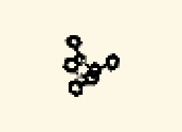 c1ccc(-c2cccc(-n3cc(-c4ccccc4)c4cccc(-n5c6ccccc6c6ccccc65)c43)c2)cc1